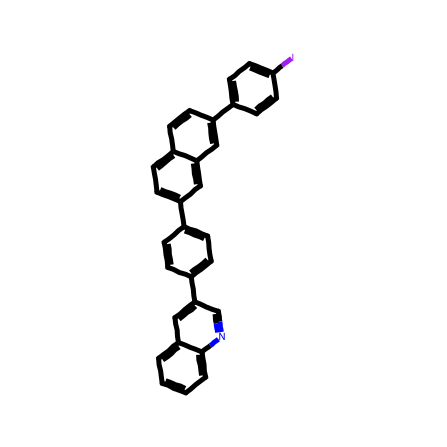 Ic1ccc(-c2ccc3ccc(-c4ccc(-c5cnc6ccccc6c5)cc4)cc3c2)cc1